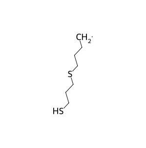 [CH2]CCCSCCCS